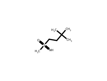 CC(C)(C)CCS(C)(=N)=O